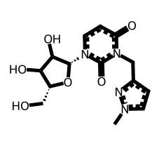 Cn1ccc(Cn2c(=O)ccn([C@@H]3O[C@H](CO)C(O)C3O)c2=O)n1